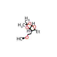 C#COCC[C@H]1[C@H]2OC(C)(C)O[C@H]2O[C@@H]1CC